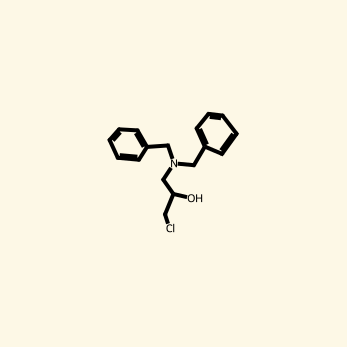 OC(CCl)CN(Cc1ccccc1)Cc1ccccc1